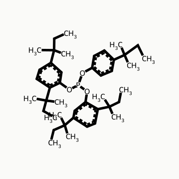 CCC(C)(C)c1ccc(OP(Oc2cc(C(C)(C)CC)ccc2C(C)(C)CC)Oc2cc(C(C)(C)CC)ccc2C(C)(C)CC)cc1